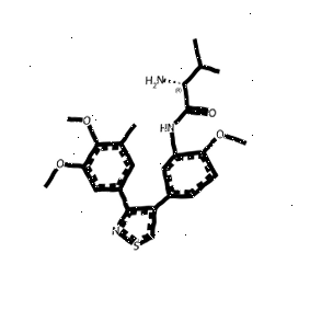 COc1ccc(-c2csnc2-c2cc(C)c(OC)c(OC)c2)cc1NC(=O)[C@H](N)C(C)C